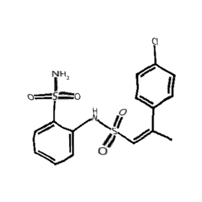 CC(=CS(=O)(=O)Nc1ccccc1S(N)(=O)=O)c1ccc(Cl)cc1